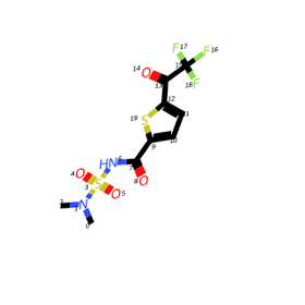 CN(C)S(=O)(=O)NC(=O)c1ccc(C(=O)C(F)(F)F)s1